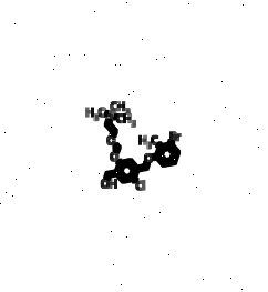 Cc1c(Br)cccc1OCc1cc(OCOCC[Si](C)(C)C)c(CO)cc1Cl